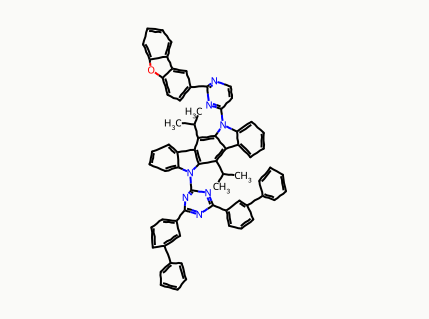 CC(C)c1c2c3ccccc3n(-c3nc(-c4cccc(-c5ccccc5)c4)nc(-c4cccc(-c5ccccc5)c4)n3)c2c(C(C)C)c2c3ccccc3n(-c3ccnc(-c4ccc5oc6ccccc6c5c4)n3)c12